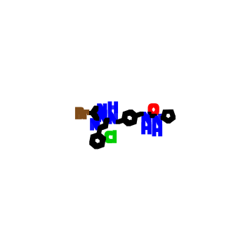 O=C(NCc1ccc(CNc2cc(-c3ccccc3Cl)nc3c(Br)cnn23)cc1)NC1CCCC1